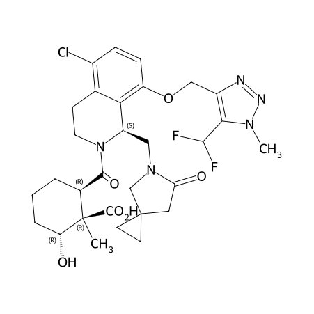 Cn1nnc(COc2ccc(Cl)c3c2[C@@H](CN2CC4(CC4)CC2=O)N(C(=O)[C@@H]2CCC[C@@H](O)[C@]2(C)C(=O)O)CC3)c1C(F)F